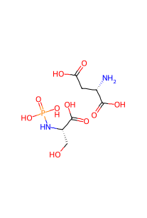 N[C@@H](CC(=O)O)C(=O)O.O=C(O)[C@H](CO)NP(=O)(O)O